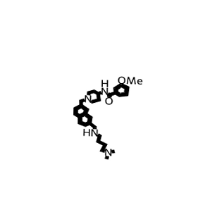 COc1cccc(C(=O)NC2CCN(Cc3ccc4ccc(CNCCCCN(C)C)cc4c3)CC2)c1